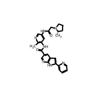 Cc1ncc(NC(=O)CN2CCC[C@@H]2C)cc1NC(=O)c1cnc2[nH]c(-c3ccccn3)cc2c1